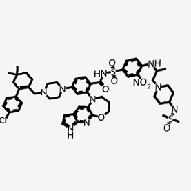 CC(CN1CCC(N=S(C)(C)=O)CC1)Nc1ccc(S(=O)(=O)NC(=O)c2ccc(N3CCN(CC4=C(c5ccc(Cl)cc5)CC(C)(C)CC4)CC3)cc2N2CCCOc3nc4[nH]ccc4cc32)cc1[N+](=O)[O-]